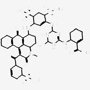 CN1C(=O)C(C(=O)C2C=CCC(S(=O)(=O)O)C2)=C2C3=C(CCCC3)C(=O)C3=C2C1CCC3NC1C=C(NC2N=C(NC3CCCC=C3C(=O)O)NC(O)N2)C(S(=O)(=O)O)CC1S(=O)(=O)O